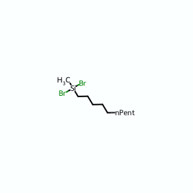 CCCCCCCCCC[Si](C)(Br)Br